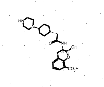 O=C(C[C@H]1CC[C@H](N2CCNCC2)CC1)N[C@H]1Cc2cccc(C(=O)O)c2OB1O